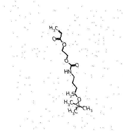 C=CC(=O)OCCOC(=O)NCCC[SiH2]O[Si](C)(C)C